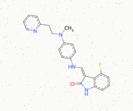 CN(CCc1ccccn1)c1ccc(NC=C2C(=O)Nc3cccc(F)c32)cc1